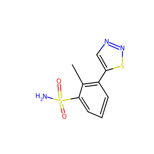 Cc1c(-c2cnns2)cccc1S(N)(=O)=O